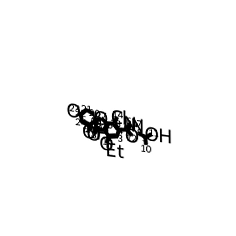 CCOc1cc(-c2nnc(C(C)O)o2)c(Cl)c2c1C(=O)[C@@]1(CCC(=O)C=C1O)O2